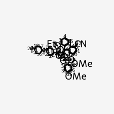 CCOc1ccccc1C1(OC(=O)N2CCN(C3CCN(C)CC3)CC2)C(=O)N(S(=O)(=O)c2ccc(OC)cc2OC)c2ccc(C#N)c(I)c21